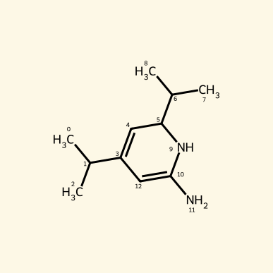 CC(C)C1=CC(C(C)C)NC(N)=C1